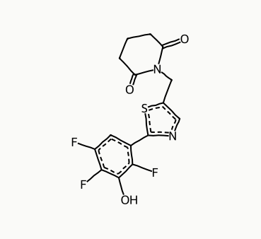 O=C1CCCC(=O)N1Cc1cnc(-c2cc(F)c(F)c(O)c2F)s1